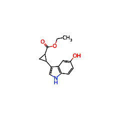 CCOC(=O)C1CC1c1c[nH]c2ccc(O)cc12